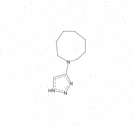 c1[nH]nnc1N1CCCCCCC1